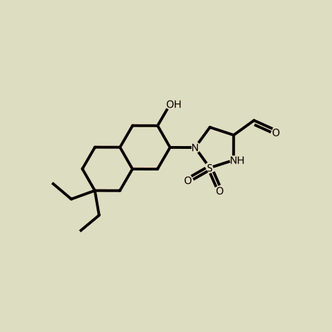 CCC1(CC)CCC2CC(O)C(N3CC(C=O)NS3(=O)=O)CC2C1